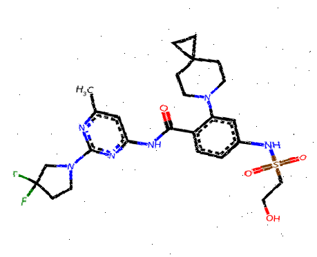 Cc1cc(NC(=O)c2ccc(NS(=O)(=O)CCO)cc2N2CCC3(CC2)CC3)nc(N2CCC(F)(F)C2)n1